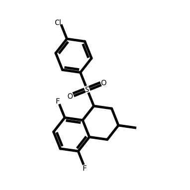 CC1Cc2c(F)ccc(F)c2C(S(=O)(=O)c2ccc(Cl)cc2)C1